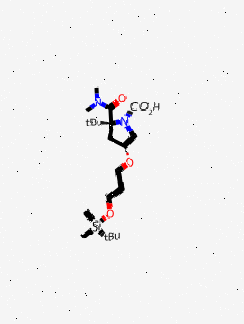 CN(C)C(=O)[C@@]1(C(C)(C)C)C[C@@H](OCCCO[Si](C)(C)C(C)(C)C)CN1C(=O)O